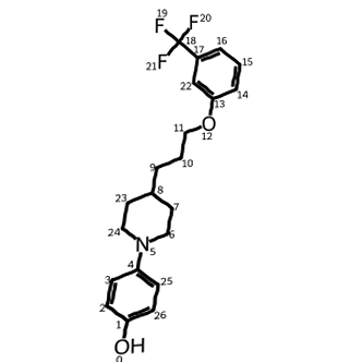 Oc1ccc(N2CCC(CCCOc3cccc(C(F)(F)F)c3)CC2)cc1